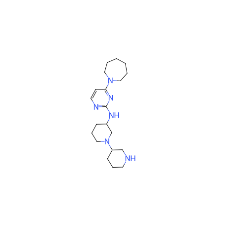 c1cc(N2CCCCCC2)nc(NC2CCCN(C3CCCNC3)C2)n1